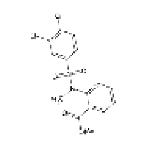 COC(=O)c1ccccc1N(C)S(=O)(=O)c1ccc(Cl)c(Cl)c1